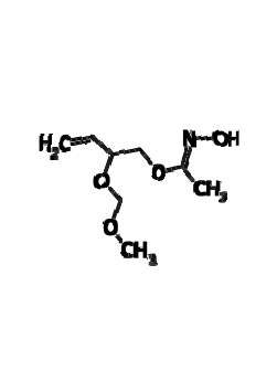 C=CC(COC(C)=NO)OCOC